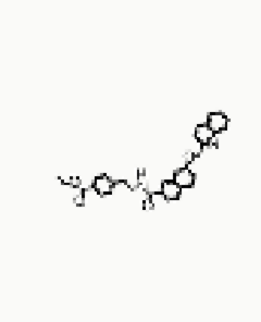 CCOC(=O)c1ccc(CCNC(=O)c2ccc3ccc(OCc4ccc5ccccc5n4)cc3c2)cc1